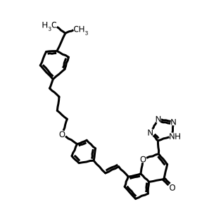 CC(C)c1ccc(CCCCOc2ccc(/C=C/c3cccc4c(=O)cc(-c5nnn[nH]5)oc34)cc2)cc1